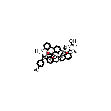 COc1ccc(CN(Cc2ccc(OC)cc2)S(=O)(=O)c2c(S(=O)(=O)CC(C)NC(=O)O)ccc(-c3cccc(N)c3N)c2-c2nnn(Cc3ccc(OC)cc3)n2)cc1